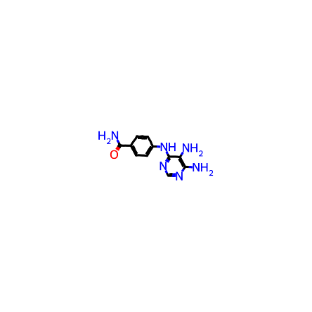 NC(=O)c1ccc(Nc2ncnc(N)c2N)cc1